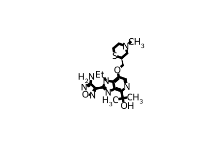 CCn1c(-c2nonc2N)nc2c(C(C)(C)O)ncc(OC[C@@H]3CN(C)CCS3)c21